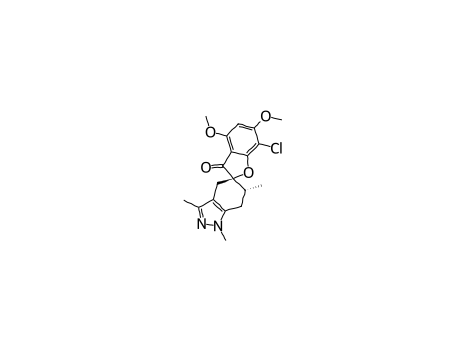 COc1cc(OC)c2c(c1Cl)O[C@@]1(Cc3c(C)nn(C)c3C[C@H]1C)C2=O